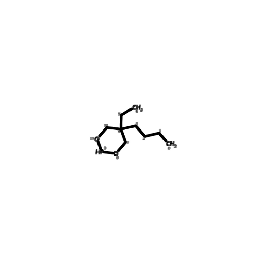 CCCCC1(CC)COPOC1